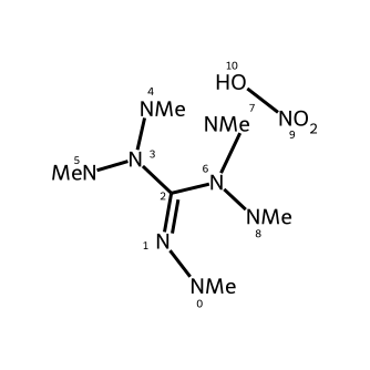 CNN=C(N(NC)NC)N(NC)NC.O=[N+]([O-])O